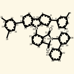 Cc1cc(C)cc(-c2ccc3c4ccc(-c5cc(C)cc(C)c5)cc4n(-c4cccc5c4C(=O)N(c4ccccc4-c4ccccc4)C5=O)c3c2)c1